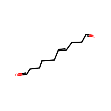 O=CCC/C=C/CCCCC=O